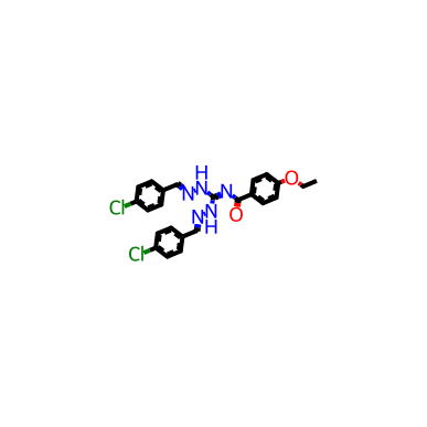 CCOc1ccc(C(=O)N=C(NN=Cc2ccc(Cl)cc2)NN=Cc2ccc(Cl)cc2)cc1